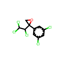 Clc1cc(Cl)cc(C2(C(Cl)C(Cl)Cl)CO2)c1